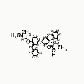 CCC(Oc1ccc(-c2ccc(OCCN(C)C)c(Cc3ccccc3)c2)cc1Cc1ccccc1)C(=O)O